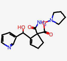 NC(=O)C1(C(=O)ON2CCCC2)CCC=C1C(O)c1cccnc1